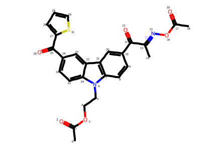 CC(=O)OCCn1c2ccc(C(=O)/C(C)=N/OC(C)=O)cc2c2cc(C(=O)c3cccs3)ccc21